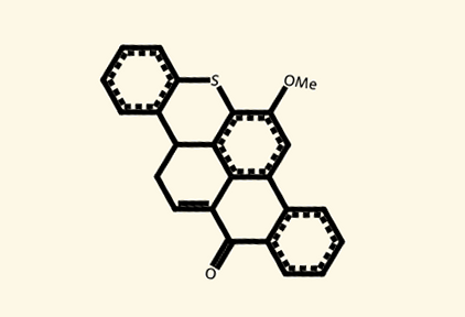 COc1cc2c3c4c1Sc1ccccc1C4CC=C3C(=O)c1ccccc1-2